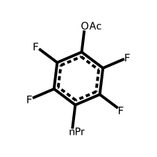 CCCc1c(F)c(F)c(OC(C)=O)c(F)c1F